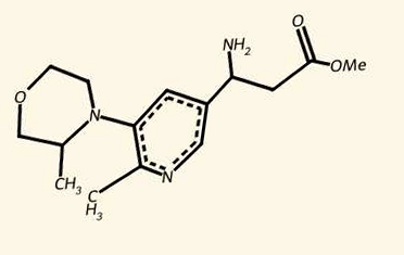 COC(=O)CC(N)c1cnc(C)c(N2CCOCC2C)c1